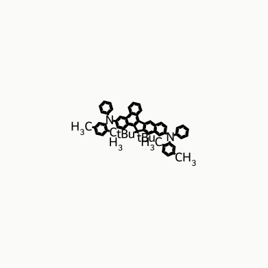 Cc1ccc(C)c(N(c2ccccc2)c2ccc3cc4c(cc3c2)C(C(C)(C)C)(C(C)(C)C)c2c-4c3ccccc3c3cc(N(c4ccccc4)c4cc(C)ccc4C)ccc23)c1